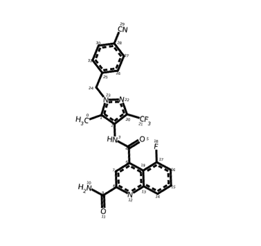 Cc1c(NC(=O)c2cc(C(N)=O)nc3cccc(F)c23)c(C(F)(F)F)nn1Cc1ccc(C#N)cc1